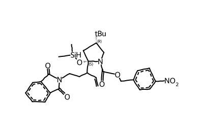 C=CC(CCN1C(=O)c2ccccc2C1=O)[C@@]1(O[SiH](C)C)C[C@H](C(C)(C)C)CN1C(=O)OCc1ccc([N+](=O)[O-])cc1